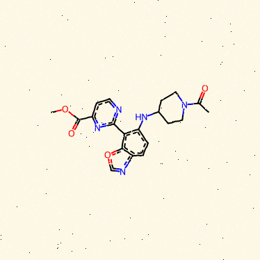 COC(=O)c1ccnc(-c2c(NC3CCN(C(C)=O)CC3)ccc3ncoc23)n1